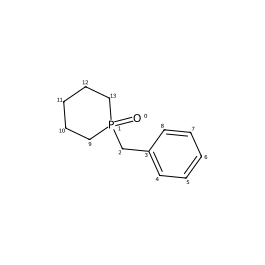 O=P1(Cc2ccccc2)CCCCC1